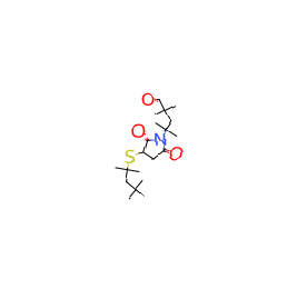 CC(C)(C)CC(C)(C)SC1CC(=O)N(C(C)(C)CC(C)(C)C=O)C1=O